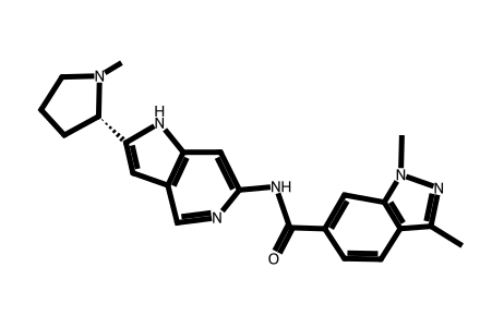 Cc1nn(C)c2cc(C(=O)Nc3cc4[nH]c([C@@H]5CCCN5C)cc4cn3)ccc12